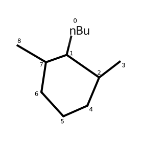 C[CH]CCC1C(C)CCCC1C